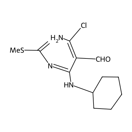 C=C(/N=C(NC1CCCCC1)\C(C=O)=C(/N)Cl)SC